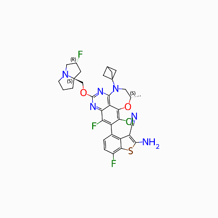 C[C@H]1CN(C23CC(C2)C3)c2nc(OC[C@@]34CCCN3C[C@H](F)C4)nc3c(F)c(-c4ccc(F)c5sc(N)c(C#N)c45)c(Cl)c(c23)O1